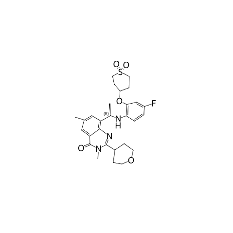 Cc1cc([C@@H](C)Nc2ccc(F)cc2OC2CCS(=O)(=O)CC2)c2nc(C3CCOCC3)n(C)c(=O)c2c1